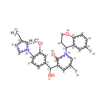 COc1cc(C(O)c2cc(F)cn(C3CCOc4ccc(F)cc43)c2=O)ccc1-n1cnc(C)c1